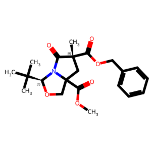 COC(=O)C12CO[C@@H](C(C)(C)C)N1C(=O)[C@](C)(C(=O)OCc1ccccc1)C2